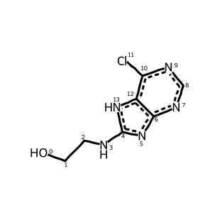 OCCNc1nc2ncnc(Cl)c2[nH]1